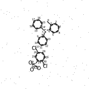 Cc1ccccc1[S+](c1ccccc1)c1ccccc1.O=S(=O)([O-])c1cc(Cl)ccc1Cl